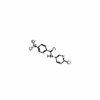 O=C(Nc1ccc(Cl)nc1)c1ccc([N+](=O)[O-])cc1